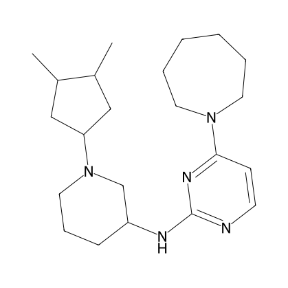 CC1CC(N2CCCC(Nc3nccc(N4CCCCCC4)n3)C2)CC1C